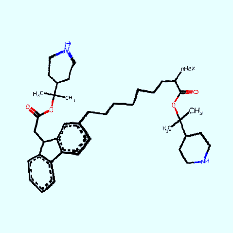 CCCCCCC(CCCCCCCc1ccc2c(c1)C(CC(=O)OC(C)(C)C1CCNCC1)c1ccccc1-2)C(=O)OC(C)(C)C1CCNCC1